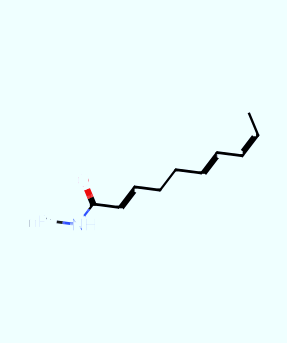 C/C=C\C=C\CC/C=C/C(=O)NCCC